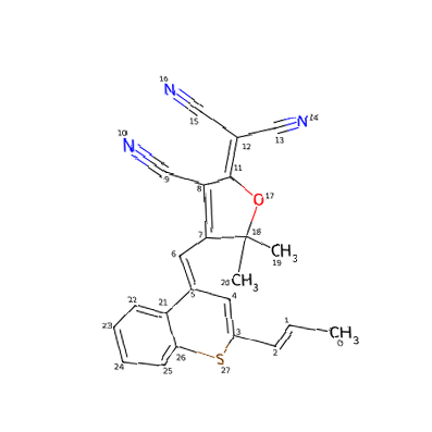 C/C=C/C1=CC(=C\C2=C(C#N)C(=C(C#N)C#N)OC2(C)C)/c2ccccc2S1